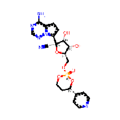 N#C[C@@]1(c2ccc3c(N)ncnn23)O[C@H](CO[P@@]2(=O)OCC[C@@H](c3ccncc3)O2)[C@@H](O)[C@H]1O